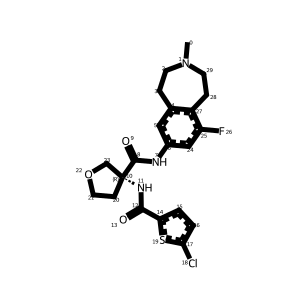 CN1CCc2cc(NC(=O)[C@@]3(NC(=O)c4ccc(Cl)s4)CCOC3)cc(F)c2CC1